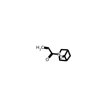 C=CC(=O)N1CC2CC(C1)C2=O